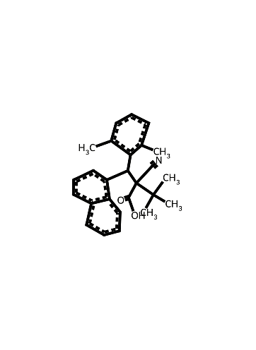 Cc1cccc(C)c1C(c1cccc2ccccc12)C(C#N)(C(=O)O)C(C)(C)C